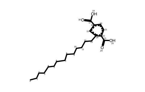 CCCCCCCCCCCCCCc1cc(C(=O)O)ccc1C(=O)O